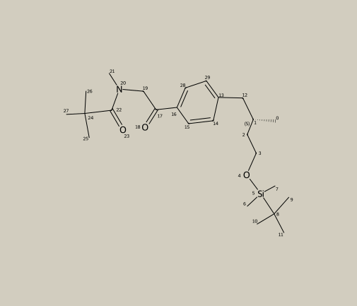 C[C@H](CCO[Si](C)(C)C(C)(C)C)Cc1ccc(C(=O)CN(C)C(=O)C(C)(C)C)cc1